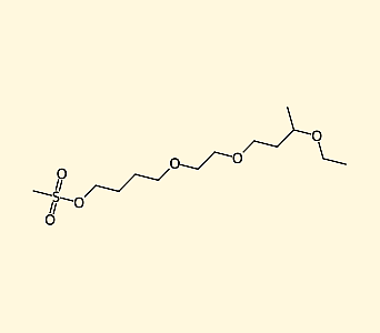 CCOC(C)CCOCCOCCCCOS(C)(=O)=O